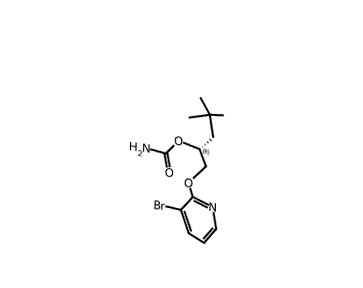 CC(C)(C)C[C@H](COc1ncccc1Br)OC(N)=O